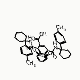 Cc1ccc(C2(NC(=N)c3c(C(=O)O)cc(C(=O)NC4(c5ccc(C)cc5)CCCCC4)c4c5ccc(c(=O)[nH]c5=O)c34)CCCCC2)cc1